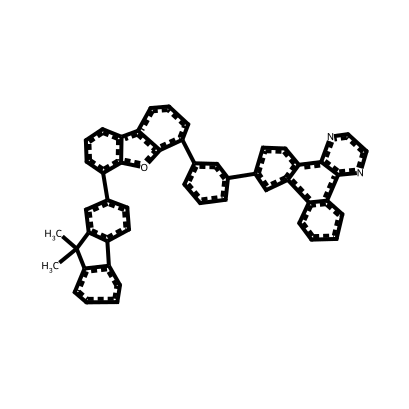 CC1(C)c2ccccc2-c2ccc(-c3cccc4c3oc3c(-c5cccc(-c6ccc7c(c6)c6ccccc6c6nccnc76)c5)cccc34)cc21